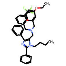 CCCCn1c(-c2ccccc2)nc(-c2ccccc2)c1CN(Cc1cccc(OCC)c1)Cc1cccc(C(F)(F)F)c1